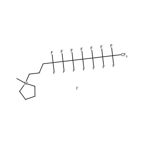 C[N+]1(CCCC(F)(F)C(F)(F)C(F)(F)C(F)(F)C(F)(F)C(F)(F)C(F)(F)C(F)(F)F)CCCC1.[I-]